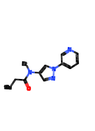 CCN(C(=O)CC(C)(C)C)c1cnn(-c2cccnc2)c1